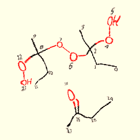 CCC(C)(OO)OOC(C)(CC)OO.CCC(C)=O